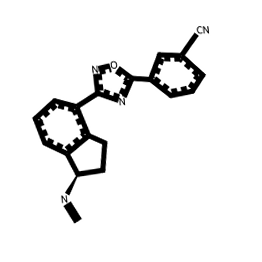 C=N[C@@H]1CCc2c(-c3noc(-c4cccc(C#N)c4)n3)cccc21